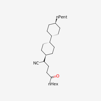 CCCCCCC(=O)CCC(C#N)[C@H]1CC[C@H]([C@H]2CC[C@H](CCCCC)CC2)CC1